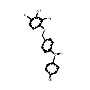 CCCc1c(OCc2ccc([S+]([O-])c3ccc(C#N)cc3)cc2)ccc(C(C)=O)c1O